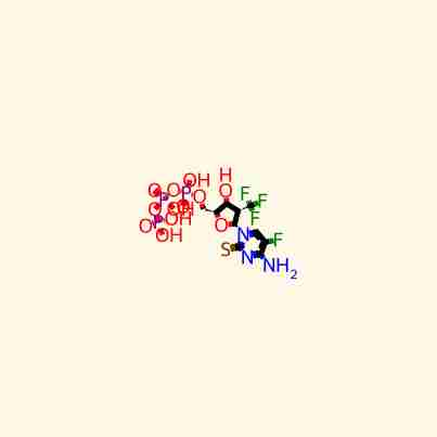 Nc1nc(=S)n([C@@H]2O[C@H](COP(=O)(O)OP(=O)(O)OP(=O)(O)O)C(O)[C@@H]2C(F)(F)F)cc1F